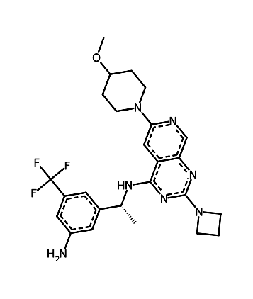 COC1CCN(c2cc3c(N[C@H](C)c4cc(N)cc(C(F)(F)F)c4)nc(N4CCC4)nc3cn2)CC1